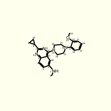 CNc1ccc2nc(C3CC3)nc(N3CCN(c4ccccc4OC)CC3)c2c1